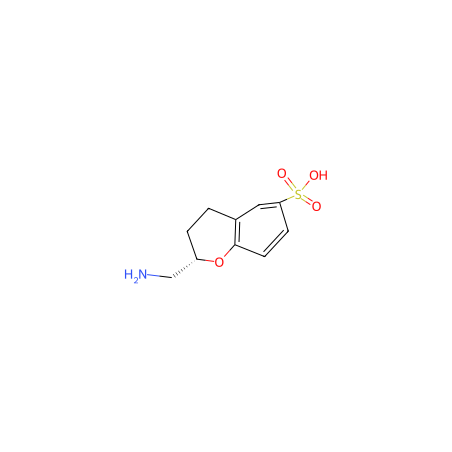 NC[C@@H]1CCc2cc(S(=O)(=O)O)ccc2O1